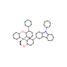 c1ccc(-c2cccc3c2Oc2ccccc2C32c3ccccc3Oc3ccc(-c4ccc5c(c4)c4ccccc4n5-c4ccccc4)cc32)cc1